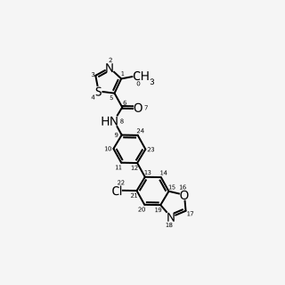 Cc1ncsc1C(=O)Nc1ccc(-c2cc3ocnc3cc2Cl)cc1